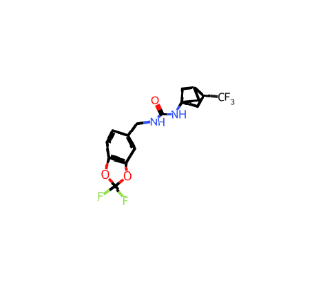 O=C(NCc1ccc2c(c1)OC(F)(F)O2)NC12CC(C1)C(C(F)(F)F)C2